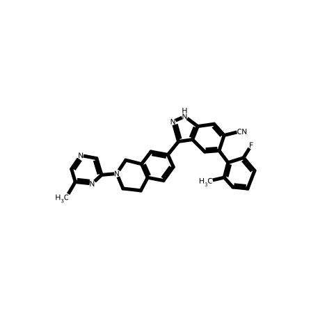 Cc1cncc(N2CCc3ccc(-c4n[nH]c5cc(C#N)c(-c6c(C)cccc6F)cc45)cc3C2)n1